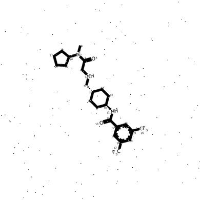 CN(C(=O)CNC[C@H]1CC[C@H](NC(=O)c2cc(C(F)(F)F)cc(C(F)(F)F)c2)CC1)C1CCCC1